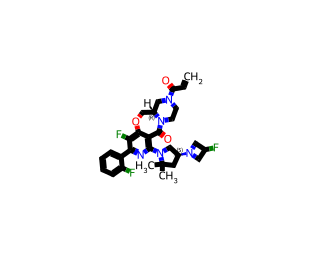 C=CC(=O)N1CCN2C(=O)c3c(N4C[C@@H](N5CC(F)C5)CC4(C)C)nc(-c4ccccc4F)c(F)c3OC[C@H]2C1